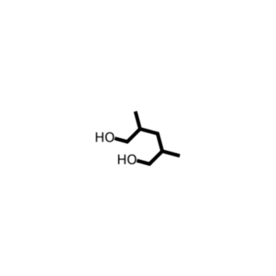 CC(CO)CC(C)CO